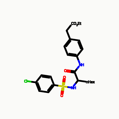 CCCCCCC(NS(=O)(=O)c1ccc(Cl)cc1)C(=O)Nc1ccc(CC(=O)OCC)cc1